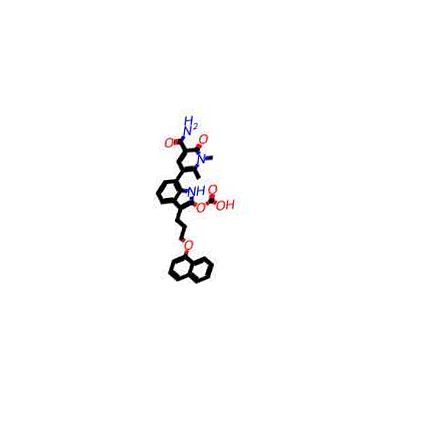 Cc1c(-c2cccc3c(CCCOc4cccc5ccccc45)c(OC(=O)O)[nH]c23)cc(C(N)=O)c(=O)n1C